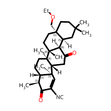 [C-]#[N+]C1=C[C@]2(C)[C@H]3CC(=O)[C@@H]4[C@@H]5CC(C)(C)CC[C@]5(COCC)CC[C@@]4(C)[C@]3(C)CC[C@H]2[C@H](C)C1=O